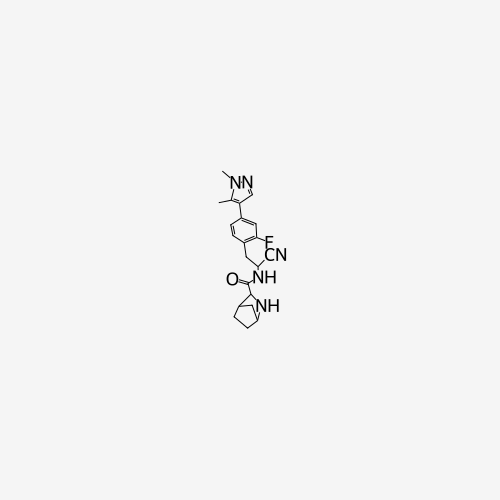 Cc1c(-c2ccc(CC(C#N)NC(=O)C3NC4CCC3C4)c(F)c2)cnn1C